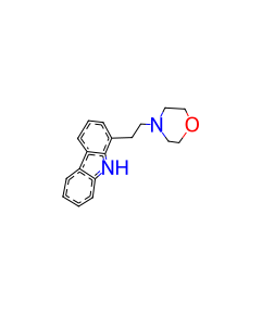 c1ccc2c(c1)[nH]c1c(CCN3CCOCC3)cccc12